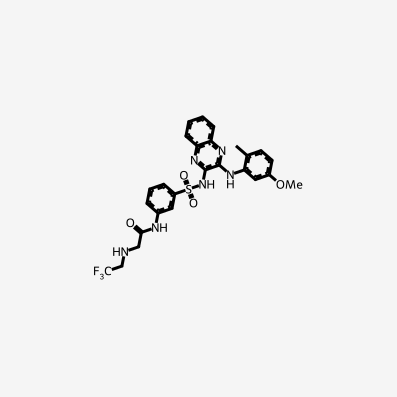 COc1ccc(C)c(Nc2nc3ccccc3nc2NS(=O)(=O)c2cccc(NC(=O)CNCC(F)(F)F)c2)c1